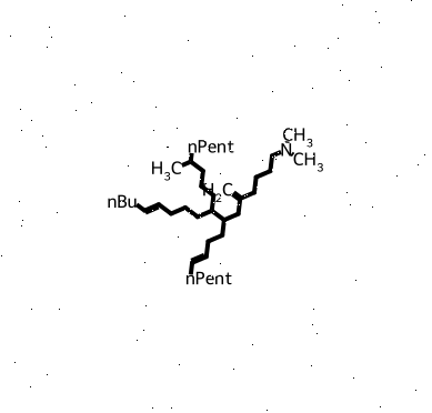 C=C(CCCCN(C)C)CC(CC/C=C/CCCCC)C(CCC/C=C/CCCC)CCCC(C)CCCCC